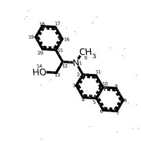 CN(c1ccc2ccccc2c1)C(CO)c1ccccc1